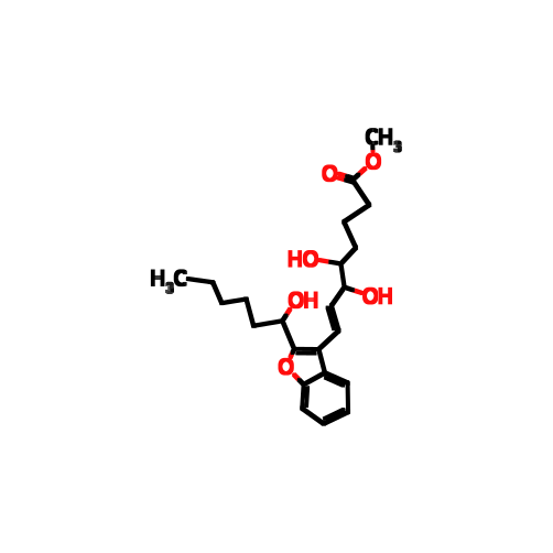 CCCCCC(O)c1oc2ccccc2c1/C=C/C(O)C(O)CCCC(=O)OC